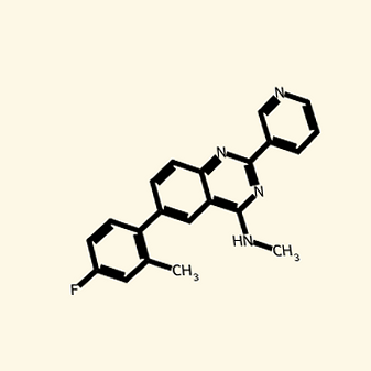 CNc1nc(-c2cccnc2)nc2ccc(-c3ccc(F)cc3C)cc12